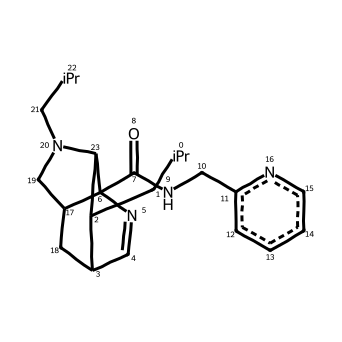 CC(C)CC1C2C=NC3(C(=O)NCc4ccccn4)C(C2)CN(CC(C)C)C13